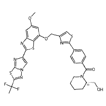 COc1cc(OCc2csc(-c3ccc(C(=O)N4CCCC[C@H]4CO)cc3)n2)c2sc(-c3cn4nc(C(C)(F)F)sc4n3)nc2c1